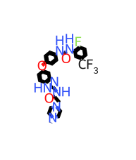 CN1CCN(CC(=O)Nc2nc3cc(Oc4ccc(NC(=O)Nc5cc(C(F)(F)F)ccc5F)cc4)ccc3[nH]2)CC1